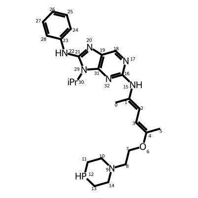 C/C(=C\C=C(/C)OCCN1CCPCC1)Nc1ncc2nc(Nc3ccccc3)n(C(C)C)c2n1